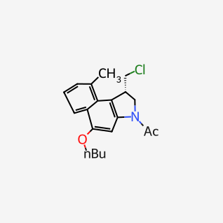 CCCCOc1cc2c(c3c(C)cccc13)[C@H](CCl)CN2C(C)=O